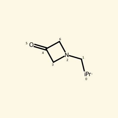 C[C](C)CN1CC(=O)C1